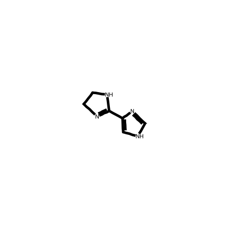 [c]1nc(C2=NCCN2)c[nH]1